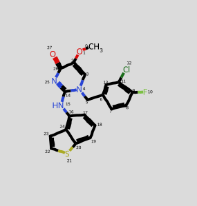 COc1cn(Cc2ccc(F)c(Cl)c2)c(Nc2cccc3sccc23)nc1=O